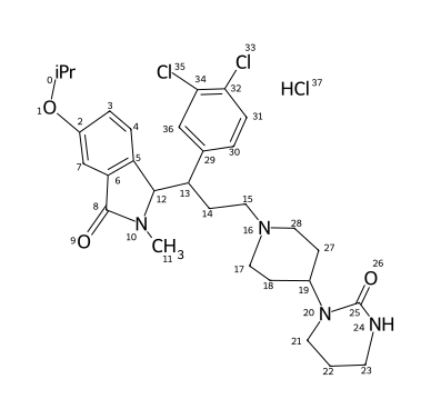 CC(C)Oc1ccc2c(c1)C(=O)N(C)C2C(CCN1CCC(N2CCCNC2=O)CC1)c1ccc(Cl)c(Cl)c1.Cl